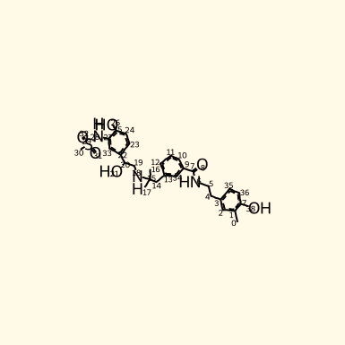 Cc1cc(CCNC(=O)c2cccc(CC(C)(C)NC[C@@H](O)c3ccc(O)c(NS(C)(=O)=O)c3)c2)ccc1O